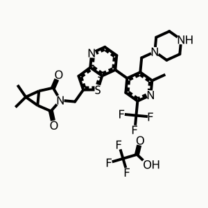 Cc1nc(C(F)(F)F)cc(-c2ccnc3cc(CN4C(=O)C5C(C4=O)C5(C)C)sc23)c1CN1CCNCC1.O=C(O)C(F)(F)F